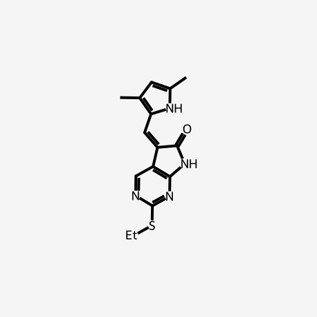 CCSc1ncc2c(n1)NC(=O)C2=Cc1[nH]c(C)cc1C